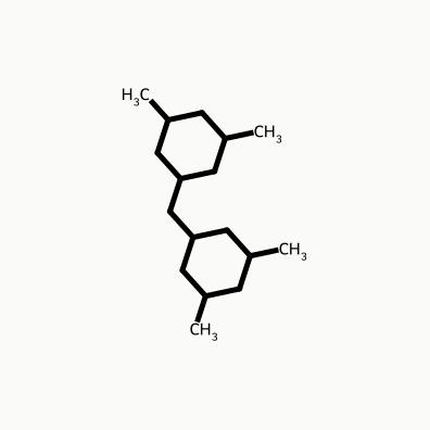 CC1CC(C)CC(CC2CC(C)CC(C)C2)C1